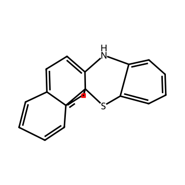 C1=CC2=CC=C3Nc4ccccc4SC34C=CC=CC24C=C1